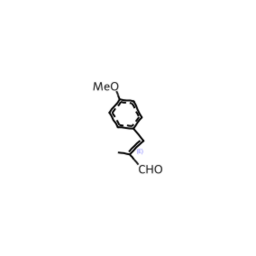 COc1ccc(/C=C(\C)C=O)cc1